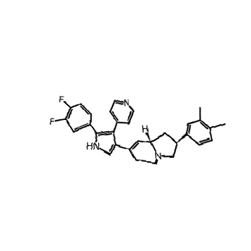 Cc1ccc([C@@H]2C[C@H]3C=C(c4c[nH]c(-c5ccc(F)c(F)c5)c4-c4ccncc4)CCN3C2)cc1C